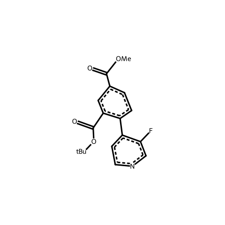 COC(=O)c1ccc(-c2ccncc2F)c(C(=O)OC(C)(C)C)c1